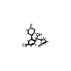 CN1CCC(c2cc(Cl)ccc2C(O)c2nccn2C)CC1